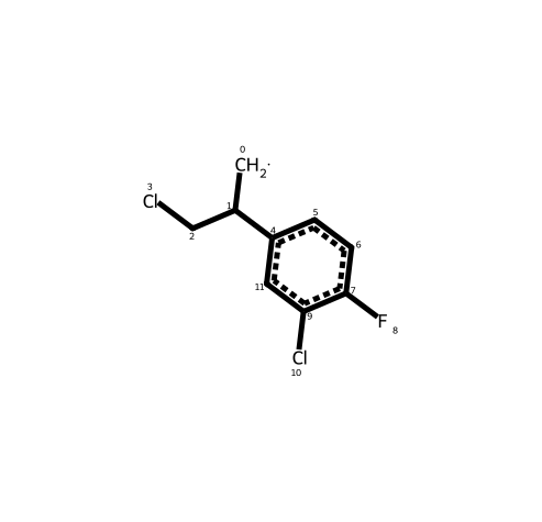 [CH2]C(CCl)c1ccc(F)c(Cl)c1